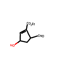 CCOC(=O)C1=CC(O)CC1C=O